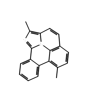 Cc1ccc2ccc3c(C)nc4c5ccccc5c1c2n34